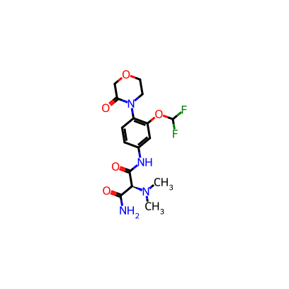 CN(C)[C@@H](C(N)=O)C(=O)Nc1ccc(N2CCOCC2=O)c(OC(F)F)c1